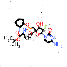 C#C[C@]1(CP(=O)(NC(C)C(=O)OC(C)C)Oc2ccccc2)O[C@@H](n2ccc(N)nc2=O)[C@H](F)[C@@H]1O